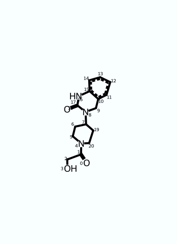 O=C(CO)N1CCC(N2Cc3ccccc3NC2=O)CC1